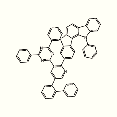 c1ccc(-c2nc(-c3ccccc3)nc(-c3cc(-c4ccccc4-c4ccccc4)cnc3-c3ccc4c(c3)sc3ccc5c6ccccc6n(-c6ccccc6)c5c34)n2)cc1